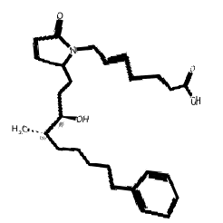 C[C@@H](CCCCCc1ccccc1)[C@H](O)CCC1CCC(=O)N1CC=CCCCC(=O)O